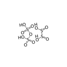 O=S(=O)(O)OS(=O)(=O)O.O=S(O)S(=O)O